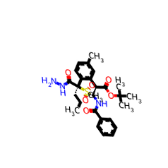 CCC[C@](C(=O)NN)(c1ccc(C)cc1[C@H](CNC(=O)c1ccccc1)C(=O)OC(C)(C)C)S(C)(=O)=O